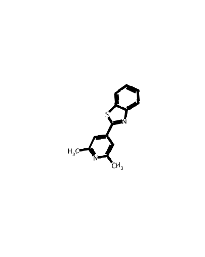 Cc1cc(-c2nc3ccccc3s2)cc(C)n1